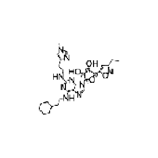 CCc1cc([C@H]2O[C@@H](n3cnc4c(NCCC5CCCCC5)nc(NCCc5cn(C)cn5)nc43)[C@H](O)[C@@H]2O)on1